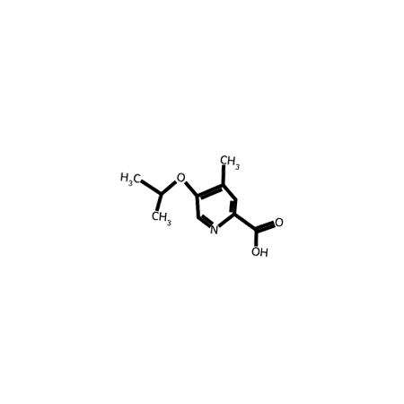 Cc1cc(C(=O)O)ncc1OC(C)C